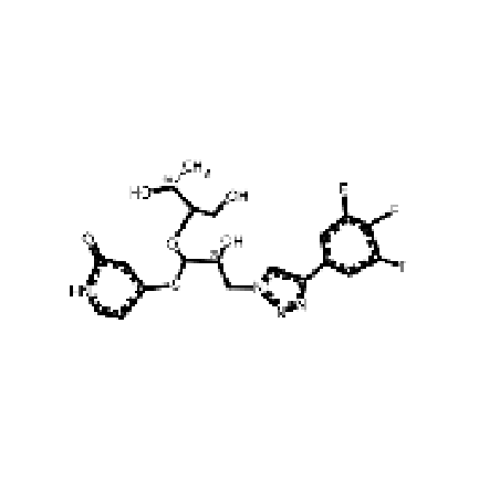 C[C@@H](O)C(CO)OC(Sc1cc[nH]c(=O)c1)[C@@H](O)Cn1cc(-c2cc(F)c(F)c(F)c2)nn1